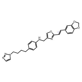 C(=C\c1nc(CNc2ccc(CCCCn3ccnn3)cc2)co1)/c1ccc2c(c1)OCO2